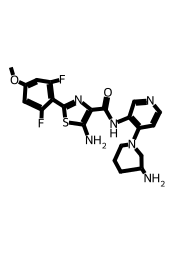 COc1cc(F)c(-c2nc(C(=O)Nc3cnccc3N3CCCC(N)C3)c(N)s2)c(F)c1